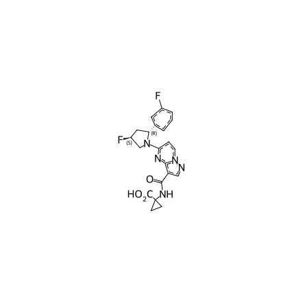 O=C(NC1(C(=O)O)CC1)c1cnn2ccc(N3C[C@@H](F)C[C@@H]3c3cccc(F)c3)nc12